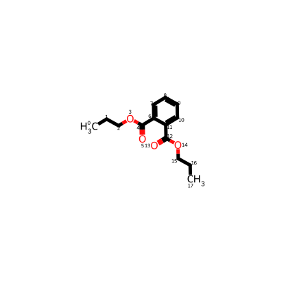 CCCOC(=O)c1c[c]ccc1C(=O)OCCC